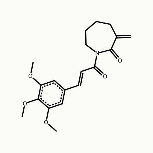 C=C1CCCCN(C(=O)C=Cc2cc(OC)c(OC)c(OC)c2)C1=O